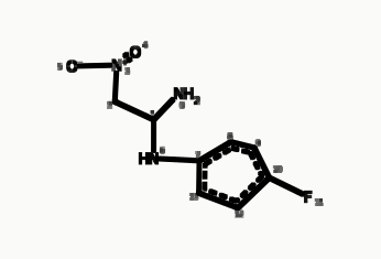 NC(C[N+](=O)[O-])Nc1ccc(F)cc1